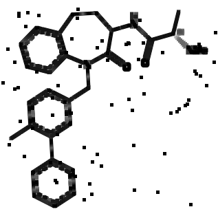 CN[C@@H](C)C(=O)NC1CCc2ccccc2N(Cc2ccc(C)c(-c3ccccc3)c2)C1=O